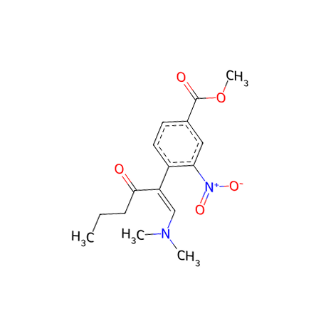 CCCC(=O)C(=CN(C)C)c1ccc(C(=O)OC)cc1[N+](=O)[O-]